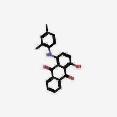 Cc1ccc(Nc2ccc(O)c3c2C(=O)c2ccccc2C3=O)c(C)c1